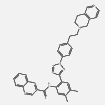 Cc1cc(NC(=O)c2cnc3ccccc3n2)c(-c2nnn(-c3ccc(CCN4CCc5cnccc5C4)cc3)n2)cc1C